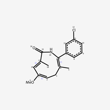 COC1=C/C/C(C)=C(/c2cccc(Cl)c2)NC(=O)\C(C)=C\1